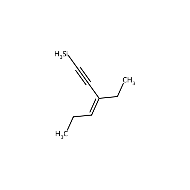 CCC=C(C#C[SiH3])CC